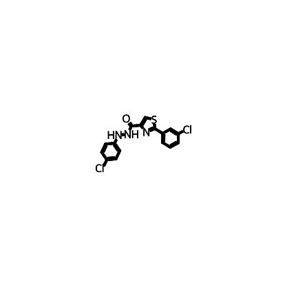 O=C(NNc1ccc(Cl)cc1)c1csc(-c2cccc(Cl)c2)n1